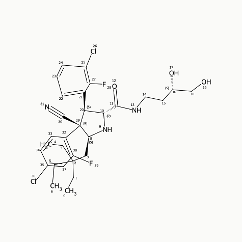 CCC(CC)(CC)C[C@@H]1N[C@@H](C(=O)NCC[C@H](O)CO)[C@H](c2cccc(Cl)c2F)[C@@]1(C#N)c1ccc(Cl)cc1F